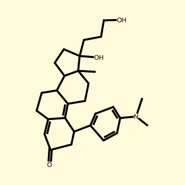 CN(C)c1ccc(C2CC(=O)C=C3CCC4C(=C32)CCC2(C)C4CCC2(O)CCCO)cc1